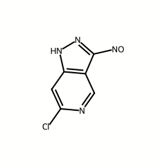 O=Nc1n[nH]c2cc(Cl)ncc12